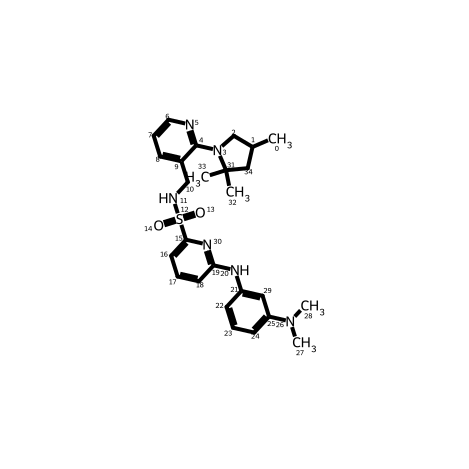 CC1CN(c2ncccc2CNS(=O)(=O)c2cccc(Nc3cccc(N(C)C)c3)n2)C(C)(C)C1